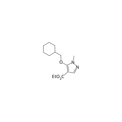 CCOC(=O)c1cnn(C)c1OCC1CCCCC1